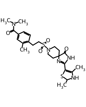 CC1=C(C2=NC3(CCN(S(=O)(=O)CCc4ccc(C(=O)N(C)C)cc4C)CC3)C(=O)N2)SC(C)N1